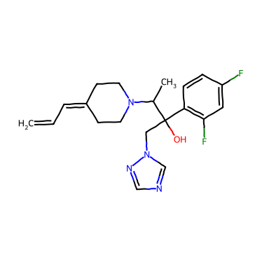 C=CC=C1CCN(C(C)C(O)(Cn2cncn2)c2ccc(F)cc2F)CC1